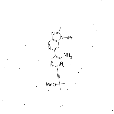 COC(C)(C)C#Cc1ncc(-c2cc3c(cn2)nc(C)n3C(C)C)c(N)n1